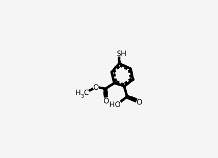 COC(=O)c1cc(S)ccc1C(=O)O